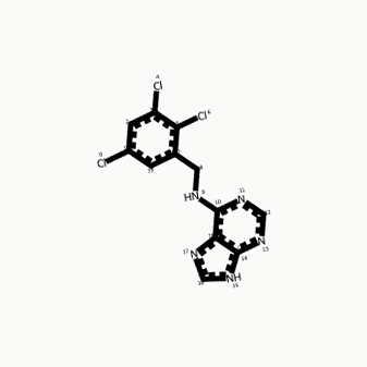 Clc1cc(Cl)c(Cl)c(CNc2ncnc3[nH]cnc23)c1